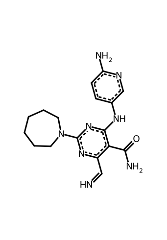 N=Cc1nc(N2CCCCCC2)nc(Nc2ccc(N)nc2)c1C(N)=O